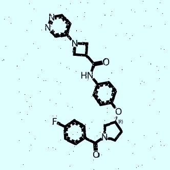 O=C(Nc1ccc(O[C@@H]2CCN(C(=O)c3ccc(F)cc3)C2)cc1)C1CN(c2ccnnc2)C1